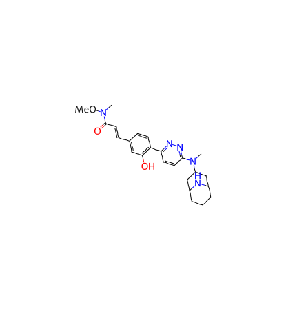 CON(C)C(=O)/C=C/c1ccc(-c2ccc(N(C)C3CC4CCCC(C3)N4)nn2)c(O)c1